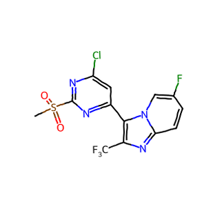 CS(=O)(=O)c1nc(Cl)cc(-c2c(C(F)(F)F)nc3ccc(F)cn23)n1